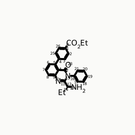 CCOC(=O)c1ccc(-c2cccc3nc([C@@H](N)CC)n(-c4ccccc4)c(=O)c23)cc1